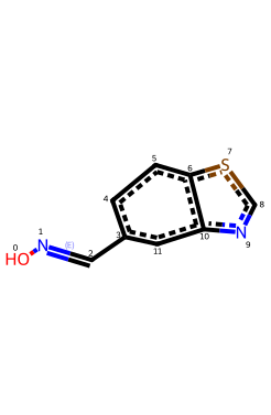 O/N=C/c1ccc2scnc2c1